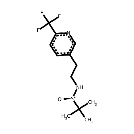 CC(C)(C)[S@@+]([O-])NCCc1ccc(C(F)(F)F)nc1